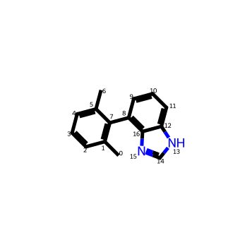 Cc1cccc(C)c1-c1cccc2[nH]cnc12